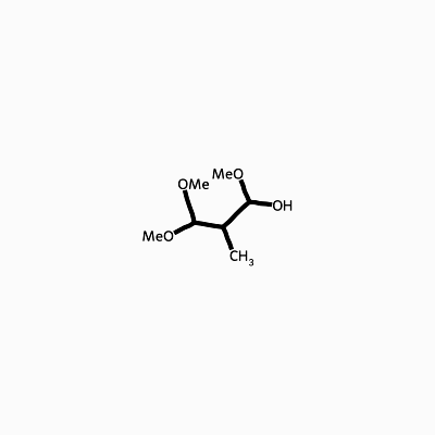 COC(O)C(C)C(OC)OC